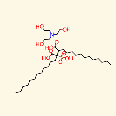 CCCCCCCCCCCCC(C(=O)O)C(CCCCCCCCCCCC)(C(=O)O)S(=O)(=O)O.OCCN(CCO)CCO